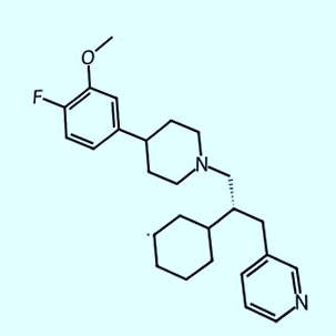 COc1cc(C2CCN(C[C@H](Cc3cccnc3)C3C[CH]CCC3)CC2)ccc1F